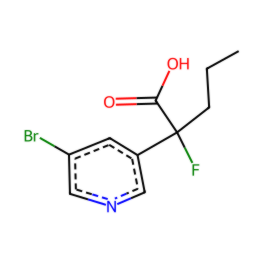 CCCC(F)(C(=O)O)c1cncc(Br)c1